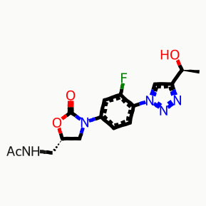 CC(=O)NC[C@H]1CN(c2ccc(-n3cc([C@H](C)O)nn3)c(F)c2)C(=O)O1